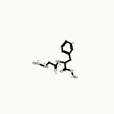 CC(C)(C)OC(=O)C(Cc1ccccc1)NC(=O)CN[C]=O